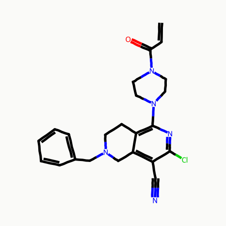 C=CC(=O)N1CCN(c2nc(Cl)c(C#N)c3c2CCN(Cc2ccccc2)C3)CC1